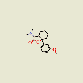 COc1cccc(C2(OC=O)CCCCC2CN(C)C)c1